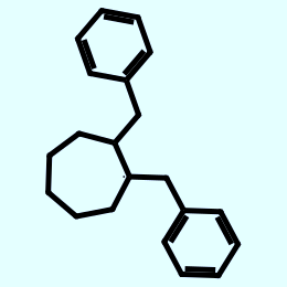 c1ccc(C[C]2CCCCCC2Cc2ccccc2)cc1